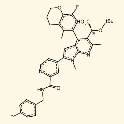 Cc1nc2c(cc(-c3ccnc(C(=O)NCc4ccc(F)cc4)c3)n2C)c(-c2cc(F)c3c(c2C)CCCO3)c1[C@H](OC(C)(C)C)C(=O)O